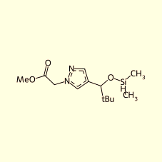 COC(=O)Cn1cc(C(O[SiH](C)C)C(C)(C)C)cn1